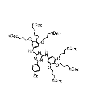 CCCCCCCCCCCCCOc1cc(Nc2nc(Nc3cc(OCCCCCCCCCCCCC)c(OCCCCCCCCCCCCC)c(OCCCCCCCCCCCCC)c3)nc(-c3ccc(CC)cc3)n2)cc(OCCCCCCCCCCCCC)c1OCCCCCCCCCCCCC